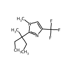 CCC(C)(CC)c1nc(C(F)(F)F)cn1C